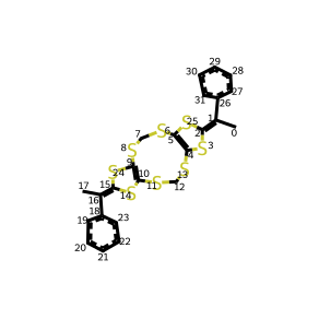 CC(=C1SC2=C(SCSC3=C(SCS2)SC(=C(C)c2ccccc2)S3)S1)c1ccccc1